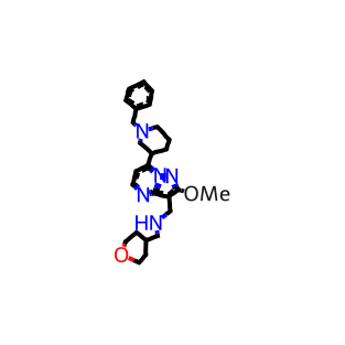 COc1nn2c(C3CCCN(Cc4ccccc4)C3)ccnc2c1CNCC1CCOCC1